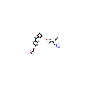 CC#C[C@H](Cc1nnn[nH]1)c1ccc(OCc2ccc3scc(-c4ccc(OCCC(C)(C)O)cc4C)c3c2)nc1